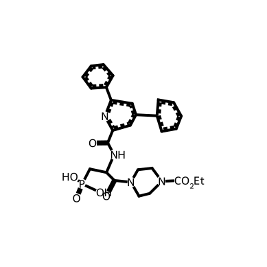 CCOC(=O)N1CCN(C(=O)C(CP(=O)(O)O)NC(=O)c2cc(-c3ccccc3)cc(-c3ccccc3)n2)CC1